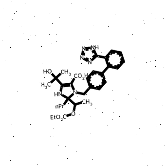 CCCC1(C(C)OC(=O)OCC)NC(C(C)(C)O)=C(C(=O)O)N1Cc1ccc(-c2ccccc2-c2nnn[nH]2)cc1